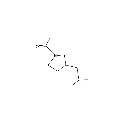 CC(=O)N1CCC(CC(C)C)C1